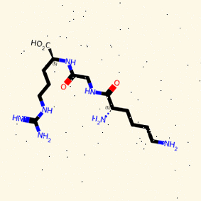 N=C(N)NCCC[C@H](NC(=O)CNC(=O)[C@@H](N)CCCCN)C(=O)O